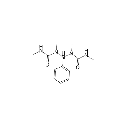 CNC(=O)N(C)[SiH](c1ccccc1)N(C)C(=O)NC